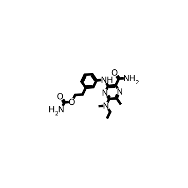 CCN(C)c1nc(Nc2cccc(CCOC(N)=O)c2)c(C(N)=O)nc1C